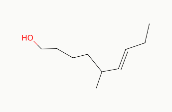 CCC=CC(C)CCCCO